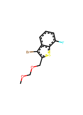 COCOCc1sc2c(F)cccc2c1Br